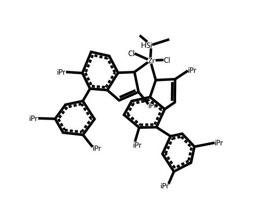 CC(C)C1=Cc2c(ccc(C(C)C)c2-c2cc(C(C)C)cc(C(C)C)c2)[CH]1[Zr]([Cl])([Cl])([CH]1C(C(C)C)=Cc2c1ccc(C(C)C)c2-c1cc(C(C)C)cc(C(C)C)c1)[SiH](C)C